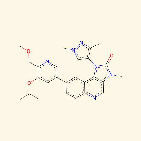 COCc1ncc(-c2ccc3ncc4c(c3c2)n(-c2cn(C)nc2C)c(=O)n4C)cc1OC(C)C